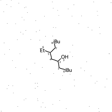 CCC(C)CC(O)CC(CC)CC(C)CC